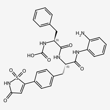 Nc1ccccc1NC(=O)[C@H](Cc1ccc(C2=CC(=O)NS2(=O)=O)cc1)NC(=O)[C@H](Cc1ccccc1)NC(=O)O